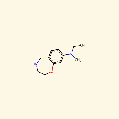 CCN(C)c1ccc2c(c1)OCCNC2